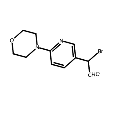 O=CC(Br)c1ccc(N2CCOCC2)nc1